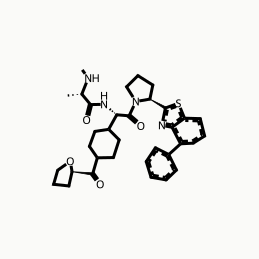 CN[C@@H](C)C(=O)N[C@H](C(=O)N1CCC[C@H]1c1nc2c(-c3ccccc3)cccc2s1)C1CCC(C(=O)[C@H]2CCCO2)CC1